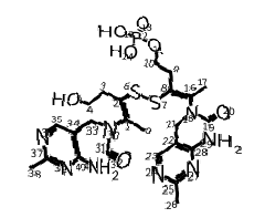 CC(=C(CCO)SSC(CCOP(=O)(O)O)=C(C)N(C=O)Cc1cnc(C)nc1N)N(C=O)Cc1cnc(C)nc1N